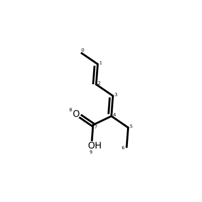 CC=CC=C(CC)C(=O)O